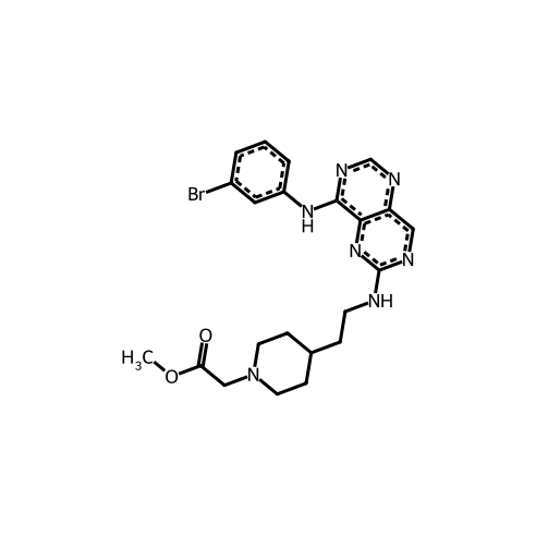 COC(=O)CN1CCC(CCNc2ncc3ncnc(Nc4cccc(Br)c4)c3n2)CC1